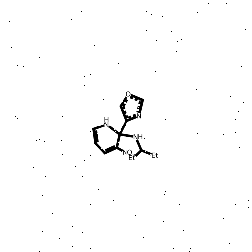 CCC(CC)NC1(c2cocn2)NC=CC=C1[N+](=O)[O-]